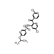 CC(C)Oc1ccc(S(=O)(=O)Nc2cc(Cl)cnc2C(=O)c2ccnc(Cl)c2)cn1